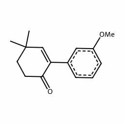 COc1cccc(C2=CC(C)(C)CCC2=O)c1